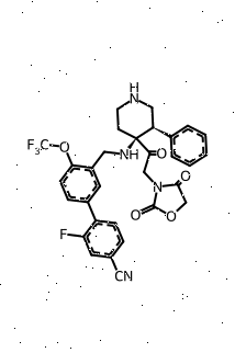 N#Cc1ccc(-c2ccc(OC(F)(F)F)c(CN[C@@]3(C(=O)CN4C(=O)COC4=O)CCNC[C@H]3c3ccccc3)c2)c(F)c1